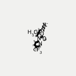 CC1(CN=[N+]=[N-])CN(c2ccc(C(F)(F)F)cn2)C(=O)O1